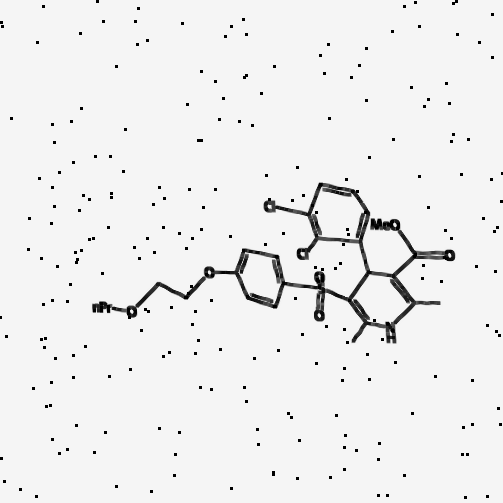 CCCOCCOc1ccc(S(=O)(=O)C2=C(C)NC(C)=C(C(=O)OC)C2c2cccc(Cl)c2Cl)cc1